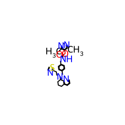 Cc1ncnc(C)c1OC(=O)NCc1ccc(CN(CCc2nccs2)C2CCCc3cccnc32)cc1